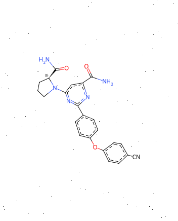 N#Cc1ccc(Oc2ccc(-c3nc(C(N)=O)cc(N4CCC[C@H]4C(N)=O)n3)cc2)cc1